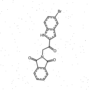 O=C(CN1C(=O)c2ccccc2C1=O)c1cc2cc(Br)ccc2[nH]1